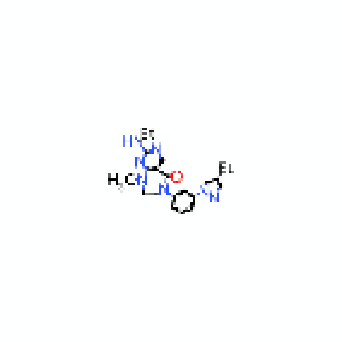 CCNc1ncc2c(n1)N(C)CCN(c1cccc(-n3cc(CC)cn3)c1)C2=O